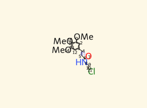 COc1cc(/C=C/C(=O)NCCCl)cc(OC)c1OC